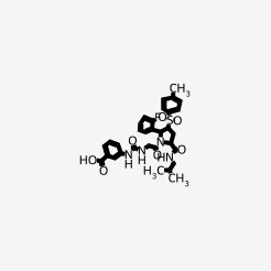 Cc1ccc(S(=O)(=O)C2CC(C(=O)NCC(C)C)N(C(=O)CNC(=O)Nc3cccc(C(=O)O)c3)C2c2ccccc2F)cc1